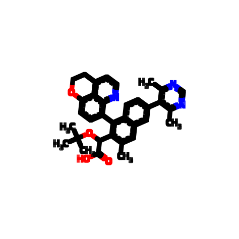 Cc1cc2cc(-c3c(C)ncnc3C)ccc2c(-c2ccc3c4c(ccnc24)CCO3)c1C(OC(C)(C)C)C(=O)O